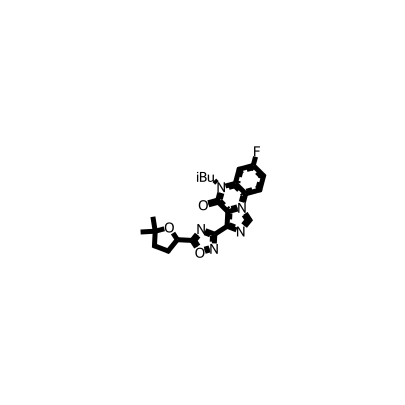 CCC(C)n1c(=O)c2c(-c3noc(C4CCC(C)(C)O4)n3)ncn2c2ccc(F)cc21